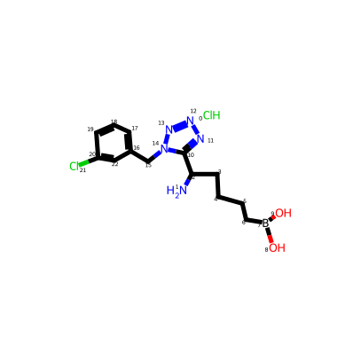 Cl.NC(CCCCB(O)O)c1nnnn1Cc1cccc(Cl)c1